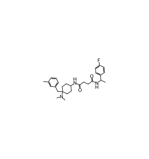 Cc1cccc(CC2(N(C)C)CCC(NC(=O)CCC(=O)NC(C)c3ccc(F)cc3)CC2)c1